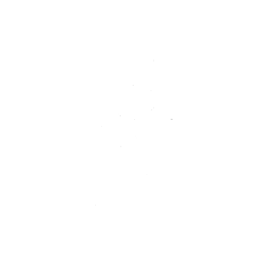 CCOC(=O)C=Cc1c(F)cc(OC)cc1F